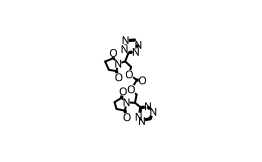 O=C(OCC(c1nncnn1)N1C(=O)CCC1=O)OCC(c1nncnn1)N1C(=O)CCC1=O